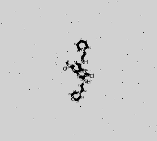 C[S+]([O-])c1nc(NCCN2CCCCC2)c2nc(Cl)c(NCCN3CCOCC3)nc2n1